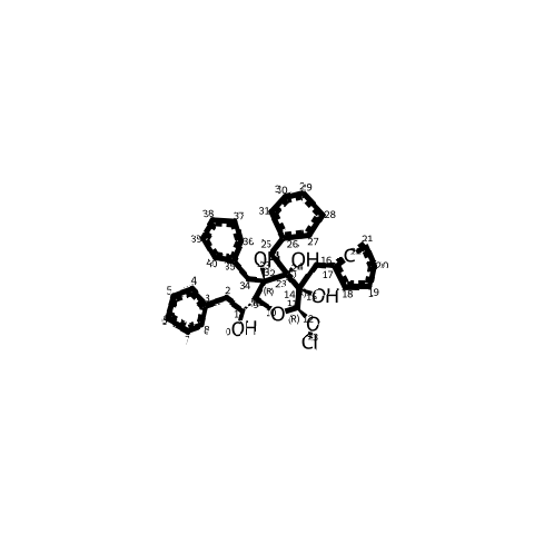 OC(Cc1ccccc1)[C@H]1O[C@H](OCl)[C@@](O)(Cc2ccccc2)[C@](O)(Cc2ccccc2)[C@@]1(O)Cc1ccccc1